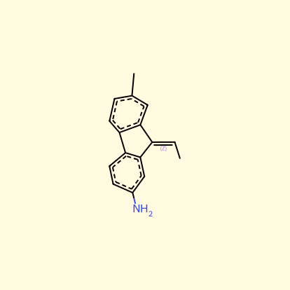 C/C=C1/c2cc(C)ccc2-c2ccc(N)cc21